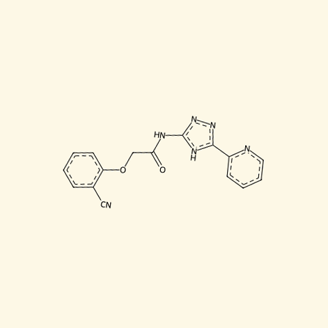 N#Cc1ccccc1OCC(=O)Nc1nnc(-c2ccccn2)[nH]1